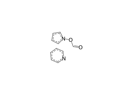 O=COn1cccc1.c1ccncc1